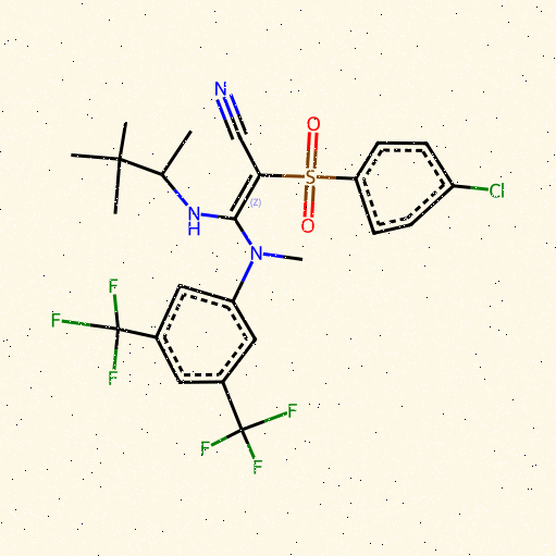 CC(N/C(=C(\C#N)S(=O)(=O)c1ccc(Cl)cc1)N(C)c1cc(C(F)(F)F)cc(C(F)(F)F)c1)C(C)(C)C